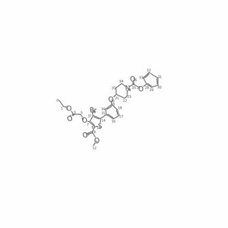 CCOC(=O)COc1c(C(=O)OC)sc(-c2cccc(OC3CCN(C(=O)Oc4ccccc4)CC3)c2)c1Br